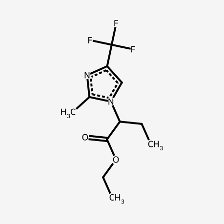 CCOC(=O)C(CC)n1cc(C(F)(F)F)nc1C